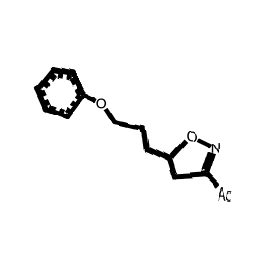 CC(=O)C1=NOC(CCCOc2ccccc2)C1